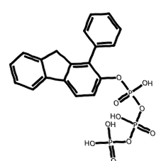 O=P(O)(O)OP(=O)(O)OP(=O)(O)Oc1ccc2c(c1-c1ccccc1)Cc1ccccc1-2